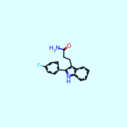 NC(=O)CCc1c(-c2ccc(F)cc2)[nH]c2ccccc12